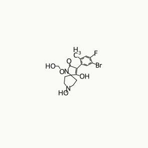 Cc1cc(F)c(Br)cc1C1=C(O)C2(CCN(O)CC2)N(OCO)C1=O